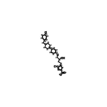 O=[N+]([O-])c1cn(CCC(O)COc2ccc(N3CCC(Cc4ccc(Cl)cc4)CC3)cc2)c(Cl)n1